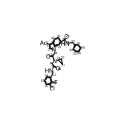 CC(=O)c1cn(CC(=O)N(CC(=O)NCc2cccc(Cl)c2F)C2CC2)c2cc(C(=O)NCc3ccccc3)ccc12